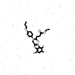 CCCOc1ccc(N(Cc2nc3c(F)c(F)cc(F)c3s2)C(=O)CCC(=O)OCC)cc1